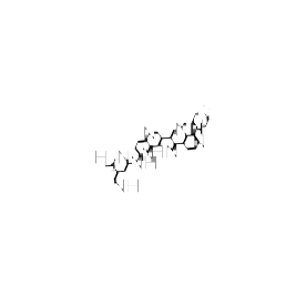 CN/C=C(\C(=N)c1ccnc(N2CCOCC2)c1)c1cnc2ccc(N/C(N)=C/C(=C\N)C(C)C)nc2c1